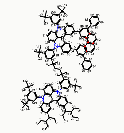 CCC(CC)C(CC)c1ccc2c(c1)B1c3cc(C(CC)C(CC)CC)ccc3N(c3cc(C(C)(C)C)cc(C(C)(C)CCC(C)(C)c4cc(N5c6ccc(-c7cc(-c8ccccc8)cc(-c8ccccc8)c7)cc6B6c7cc(-c8cc(-c9ccccc9)cc(-c9ccccc9)c8)ccc7N(c7cc(C(C)(C)C)cc(C(C)(C)C)c7)c7cccc5c76)cc(C(C)(C)C)c4)c3)c3cccc(c31)N2c1cc(C(C)(C)C)cc(C(C)(C)C)c1